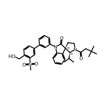 CC(C)[C@@H]1N(C(=O)CC(C)(C)C)CC[C@@]12C(=O)N(c1cccc(-c3ccc(CO)c(S(C)(=O)=O)c3)c1)c1ccccc12